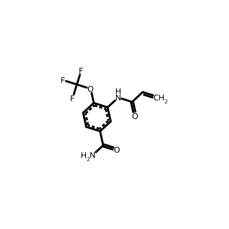 C=CC(=O)Nc1cc(C(N)=O)ccc1OC(F)(F)F